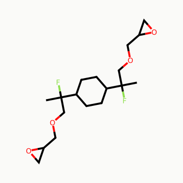 CC(F)(COCC1CO1)C1CCC(C(C)(F)COCC2CO2)CC1